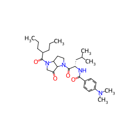 CCCC(CCC)C(=O)N1CC(=O)C2C1CCN2C(=O)[C@H](CC(C)C)NC(=O)c1ccc(N(C)C)cc1